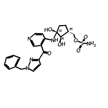 NS(=O)(=O)OC[C@H]1CC[C@@](O)(Nc2ccncc2C(=O)c2ccn(Cc3ccccc3)n2)[C@@H]1O